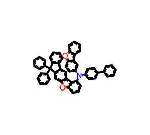 c1ccc(-c2ccc(N(c3ccc4oc5ccccc5c4c3)c3cccc4oc5cc6c(cc5c34)-c3ccccc3C6(c3ccccc3)c3ccccc3)cc2)cc1